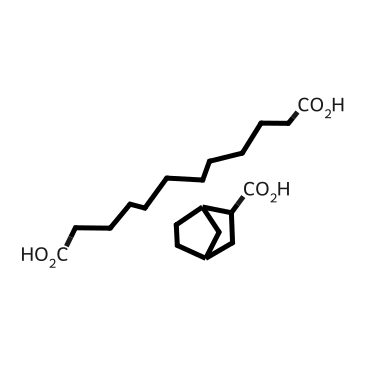 O=C(O)C1CC2CCC1C2.O=C(O)CCCCCCCCCCC(=O)O